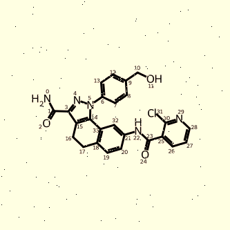 NC(=O)c1nn(-c2ccc(CO)cc2)c2c1CCc1ccc(NC(=O)c3cccnc3Cl)cc1-2